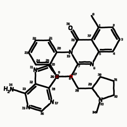 Cc1cccc2nc(Cn3cnc4c(N)ncnc43)n(-c3ccccc3OCCC3CCCN3C)c(=O)c12